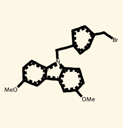 COc1ccc2c(c1)c1cc(OC)ccc1n2Cc1ccc(CBr)cc1